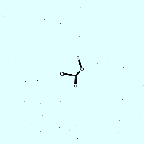 O=C(Cl)OF